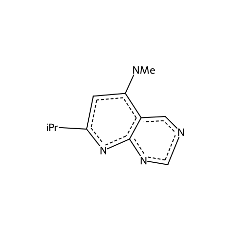 CNc1cc(C(C)C)nc2ncncc12